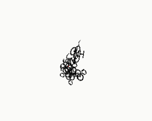 CCCCOC(=O)NCC(=O)Nc1cccc([C@@]2(O)O[C@H]([C@H](C)OC(=O)c3ccccc3)[C@@H](OC(=O)c3ccccc3)[C@H](OC(=O)c3ccccc3)[C@H]2OC(=O)c2ccccc2)c1Cc1ccc(CC)cc1